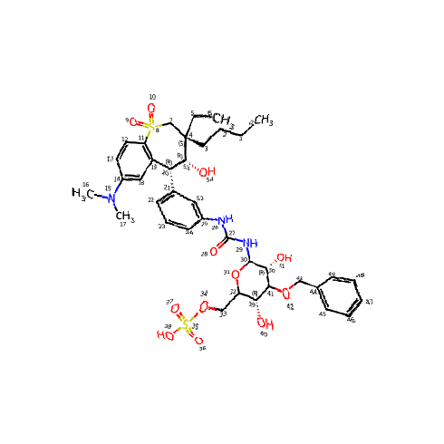 CCCC[C@]1(CC)CS(=O)(=O)c2ccc(N(C)C)cc2[C@@H](c2cccc(NC(=O)NC3OC(COS(=O)(=O)O)[C@@H](O)C(OCc4ccccc4)[C@H]3O)c2)[C@H]1O